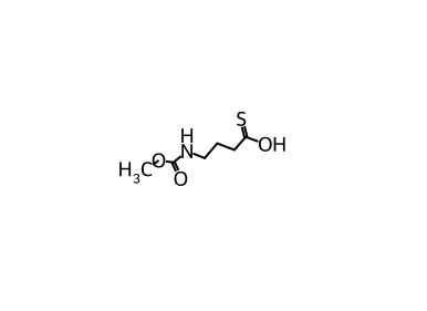 COC(=O)NCCCC(O)=S